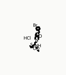 CCOC(=O)NC(CCN1CCC2(CC1)CCN(Cc1ccc(Br)cc1)C2=O)c1cccs1.Cl